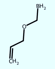 BCOCC=C